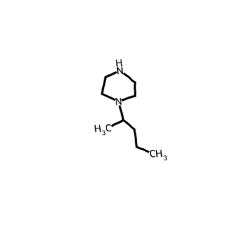 CCCC(C)N1CCNCC1